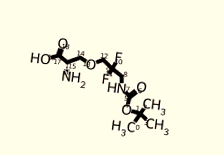 CC(C)(C)OC(=O)NCC(F)(F)COC[C@H](N)C(=O)O